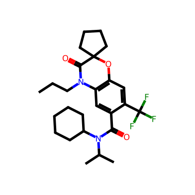 CCCN1C(=O)C2(CCCC2)Oc2cc(C(F)(F)F)c(C(=O)N(C(C)C)C3CCCCC3)cc21